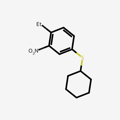 CCc1ccc(SC2CCCCC2)cc1[N+](=O)[O-]